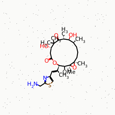 COC1[C@@H](/C(C)=C/c2csc(CN)n2)OC(=O)C[C@H](O)C(C)(C)C(=O)[C@H](C)[C@@H](O)[C@@H](C)CCC[C@@]2(C)O[C@@H]12